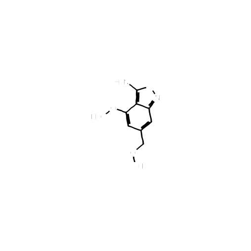 COCc1cc(OC)c2c(N)onc2c1